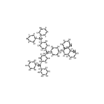 c1ccc(N(c2ccccc2)c2ccc(N(c3ccc(-c4cc5cccnc5c5ncccc45)cc3)c3ccc(N(c4ccccc4)c4ccccc4)cc3)cc2)cc1